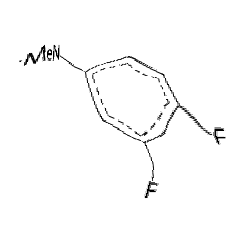 C[N]c1ccc(F)c(F)c1